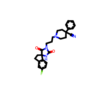 N#CC1(c2ccccc2)CCN(CCCN2C(=O)NC3(CCc4cc(F)ccc43)C2=O)CC1